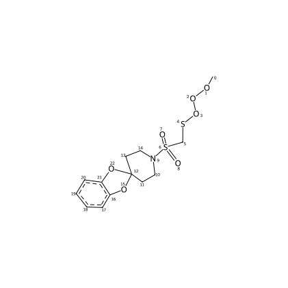 COOOSCS(=O)(=O)N1CCC2(CC1)Oc1ccccc1O2